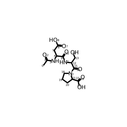 CC(=O)NC(CC(=O)O)C(=O)NC(CO)C(=O)N1CCCC1C(=O)O